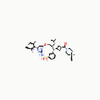 C#C/C(C)=C(\C(C)=C/C)c1cc2nc(n1)NS(=O)(=O)c1cccc(c1)C(C1CC(C(=O)N3CCC(C)(C#C)CC3)C1)C(CC(C)C)CO2